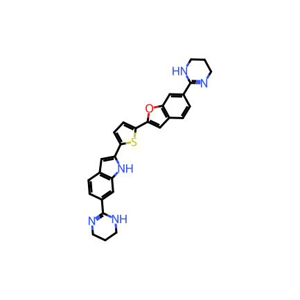 c1cc2cc(-c3ccc(-c4cc5ccc(C6=NCCCN6)cc5o4)s3)[nH]c2cc1C1=NCCCN1